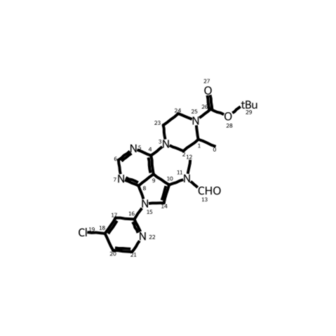 CC1CN(c2ncnc3c2c(N(C)C=O)cn3-c2cc(Cl)ccn2)CCN1C(=O)OC(C)(C)C